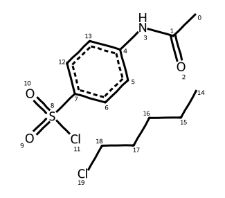 CC(=O)Nc1ccc(S(=O)(=O)Cl)cc1.CCCCCCl